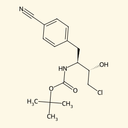 CC(C)(C)OC(=O)N[C@@H](Cc1ccc(C#N)cc1)[C@H](O)CCl